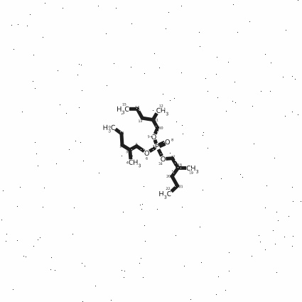 CCCC(C)COP(=O)(OCC(C)CCC)OCC(C)CCC